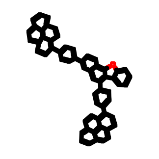 c1cc2ccc3ccc(-c4ccc(-c5ccc6c(c5)cc(-c5ccc(-c7ccc8ccc9cccc%10ccc7c8c9%10)cc5)c5c7ccccc7oc65)cc4)c4ccc(c1)c2c34